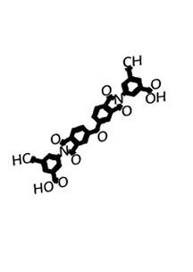 C#Cc1cc(C(=O)O)cc(N2C(=O)c3ccc(C(=O)c4ccc5c(c4)C(=O)N(c4cc(C#C)cc(C(=O)O)c4)C5=O)cc3C2=O)c1